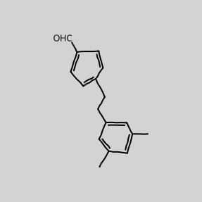 Cc1cc(C)cc(CCc2ccc(C=O)cc2)c1